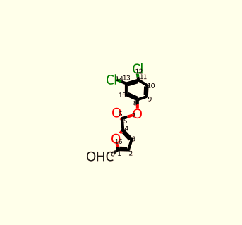 O=Cc1ccc(C(=O)Oc2ccc(Cl)c(Cl)c2)o1